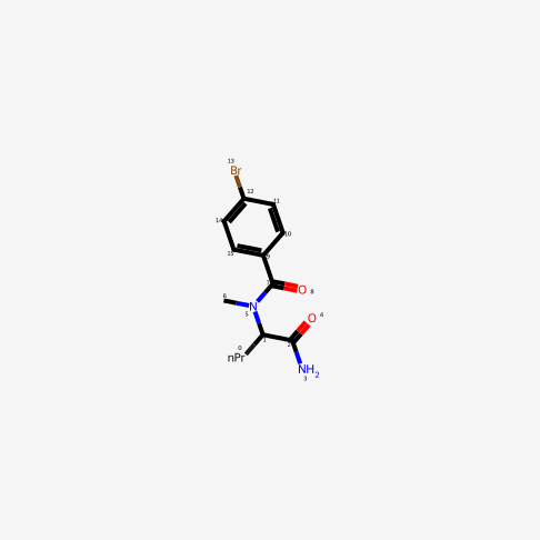 CCCC(C(N)=O)N(C)C(=O)c1ccc(Br)cc1